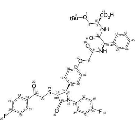 CC(C)(C)OC[C@H](NC(=O)[C@H](NC(=O)COc1ccc([C@@H]2[C@@H](SCC(=O)c3ccc(F)cc3)C(=O)N2c2ccc(F)cc2)cc1)c1ccccc1)C(=O)O